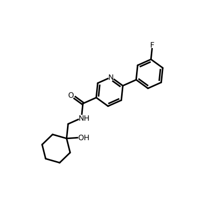 O=C(NCC1(O)CCCCC1)c1ccc(-c2cccc(F)c2)nc1